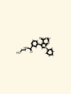 O=C(NCCO)c1cccc(-c2cn(-c3ccccc3)c3nc[nH]c(=O)c23)c1